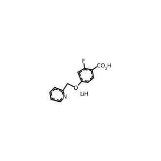 O=C(O)c1ccc(OCc2ccccn2)cc1F.[LiH]